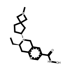 CC[C@@H]1Cc2ncc(C(=O)NO)cc2CN1[C@@H]1CCC2(C1)CN(C)C2